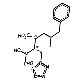 CC(Cc1ccccc1)C[C@@H](C(=O)O)[C@H](Cn1ncnn1)N(O)C=O